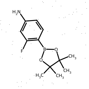 CC1(C)OB(c2ccc(N)[c]c2F)OC1(C)C